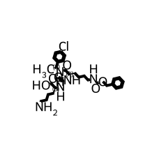 C[C@H](NC(=O)[C@@H](CCCCNC(=O)OCc1ccccc1)NC(=O)N[C@@H](CCCCN)C(=O)O)c1ccc(Cl)cc1